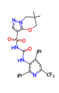 CC(C)c1cc(C(F)(F)F)nc(C(C)C)c1NC(=O)NS(=O)(=O)c1cnn2c1OCC(C)(C)C2